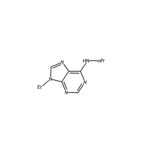 CCCNc1ncnc2c1ncn2CC